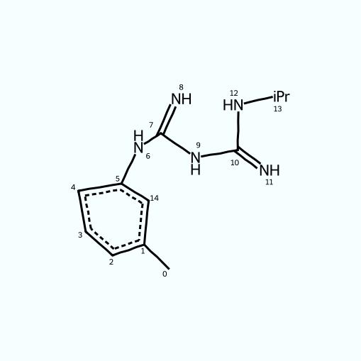 Cc1cccc(NC(=N)NC(=N)NC(C)C)c1